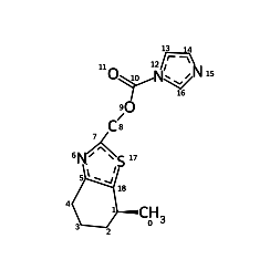 C[C@H]1CCCc2nc(COC(=O)n3ccnc3)sc21